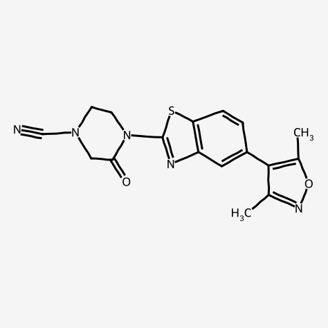 Cc1noc(C)c1-c1ccc2sc(N3CCN(C#N)CC3=O)nc2c1